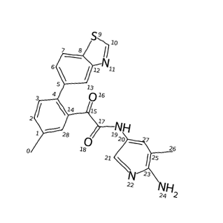 Cc1ccc(-c2ccc3scnc3c2)c(C(=O)C(=O)Nc2cnc(N)c(C)c2)c1